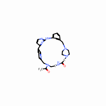 O=C1CN2CCN(CC2)Cc2cccc(c2)Nc2nccc(n2)-c2ccc(nc2)CN(C(=O)C(F)(F)F)CCN1